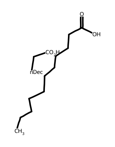 CCCCCCCCCCC(=O)O.CCCCCCCCCCCC(=O)O